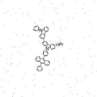 CCCc1ccc2c(c1)c1cc(-c3ccc4c(c3)c3ccccc3n4-c3ccccc3)ccc1n2-c1ccc(-c2c3ccccc3c(-c3ccccc3)c3ccccc23)cc1